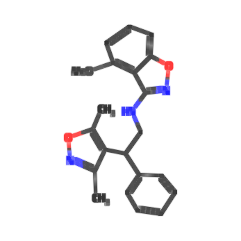 COc1cccc2onc(NCC(c3ccccc3)c3c(C)noc3C)c12